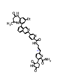 CCc1cc2c(c(-c3cccc4cc(-c5ccc(C(=O)NC/C=C/c6ccc(C7CCC(=O)NC7=O)c(C(N)=O)n6)nc5)ncc34)c1)N[C@H](C)CC(=O)N2